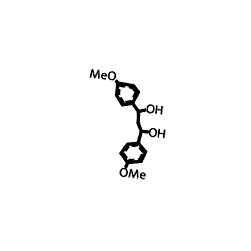 COc1ccc(C(O)CC(O)c2ccc(OC)cc2)cc1